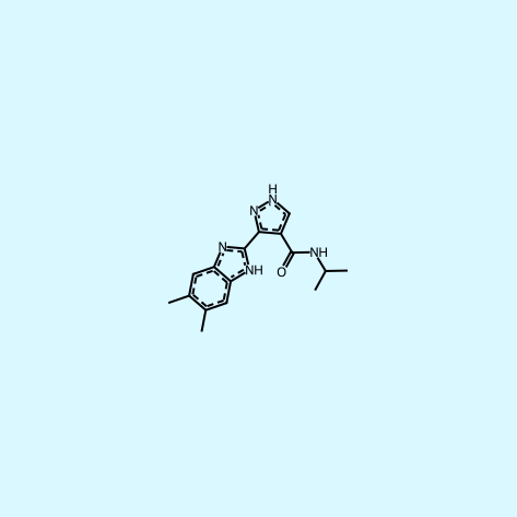 Cc1cc2nc(-c3n[nH]cc3C(=O)NC(C)C)[nH]c2cc1C